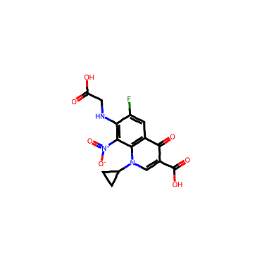 O=C(O)CNc1c(F)cc2c(=O)c(C(=O)O)cn(C3CC3)c2c1[N+](=O)[O-]